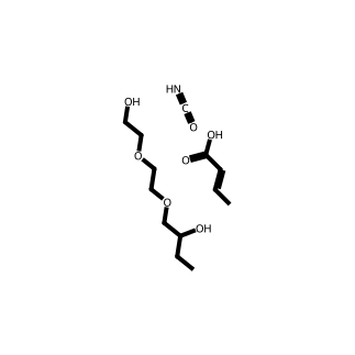 CC=CC(=O)O.CCC(O)COCCOCCO.N=C=O